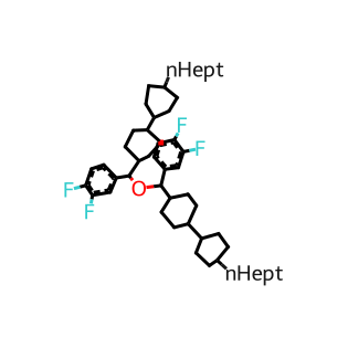 CCCCCCCC1CCC(C2CCC(C(OC(c3ccc(F)c(F)c3)C3CCC(C4CCC(CCCCCCC)CC4)CC3)c3ccc(F)c(F)c3)CC2)CC1